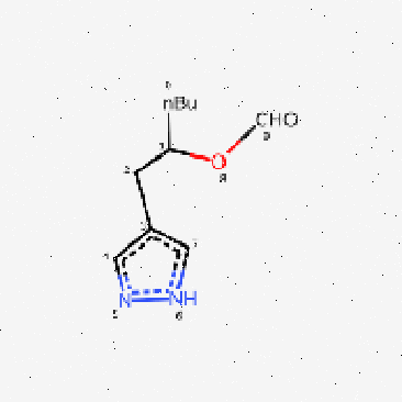 CCCCC(Cc1cn[nH]c1)OC=O